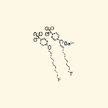 O=S(=O)([O-])c1ccc(OC=CCCCCCCCF)cc1.O=S(=O)([O-])c1ccc(OC=CCCCCCCCF)cc1.[Ba+2]